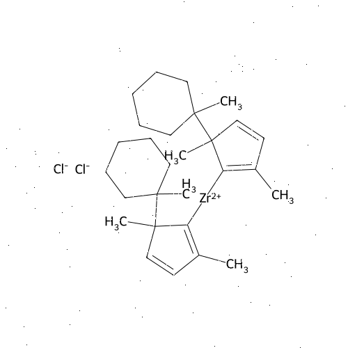 CC1=[C]([Zr+2][C]2=C(C)C=CC2(C)C2(C)CCCCC2)C(C)(C2(C)CCCCC2)C=C1.[Cl-].[Cl-]